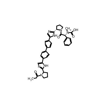 CCC(=O)N1CCCC1c1ncc(-c2ccc(-c3ccc(-c4cnc([C@@H]5CCCN5C(=O)[C@@H](c5ccccc5)N(C)C(=O)O)[nH]4)cc3)cc2)[nH]1